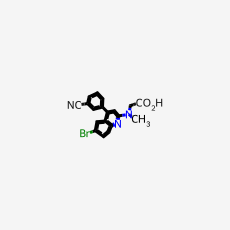 CN(CC(=O)O)c1cc(-c2cccc(C#N)c2)c2cc(Br)ccc2n1